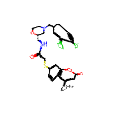 Cc1cc(=O)oc2cc(SCC(=O)NC[C@H]3CN(CC4C=C(Cl)C(Cl)=CC4)CCO3)ccc12